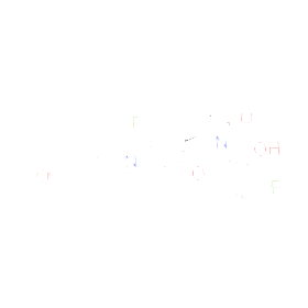 COc1cc(N2CCC(CC=O)CC2)c(F)cc1[C@@H]1N(c2cccc(F)c2O)C(=O)C12CCCC2